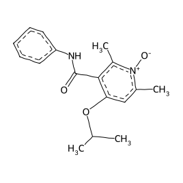 Cc1cc(OC(C)C)c(C(=O)Nc2ccccc2)c(C)[n+]1[O-]